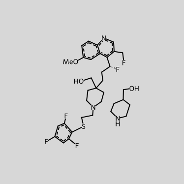 COc1ccc2ncc(CF)c([C@H](F)CCC3(CO)CCN(CCSc4c(F)cc(F)cc4F)CC3)c2c1.OCC1CCNCC1